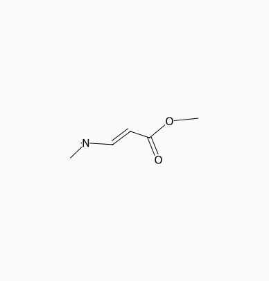 C[N]C=CC(=O)OC